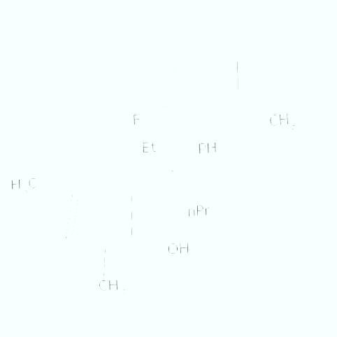 CCCC(CC)(Pc1c(C)cccc1F)c1cc(C)cc(C)c1O